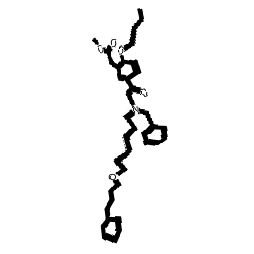 CCCCOc1ccc(C(=O)CN(CCCCCCOCCCCc2ccccc2)Cc2ccccc2)cc1CC(=O)OC